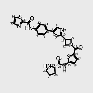 O=C(Nc1ccc(-c2cnc(C3CN(C(=O)c4ccc(NC(=O)[C@@H]5CCCN5)s4)C3)s2)cc1)c1nccs1